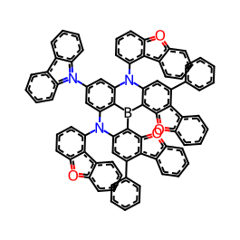 c1ccc(-c2cc3c(c4oc5ccccc5c24)B2c4c(cc(-n5c6ccccc6c6ccccc65)cc4N(c4cccc5oc6ccccc6c45)c4cc(-c5ccccc5)c5c(oc6ccccc65)c42)N3c2cccc3oc4ccccc4c23)cc1